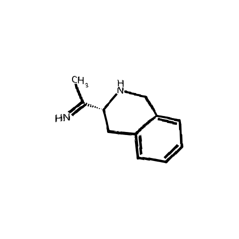 CC(=N)[C@H]1Cc2ccccc2CN1